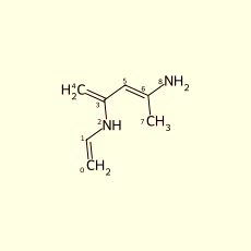 C=CNC(=C)/C=C(\C)N